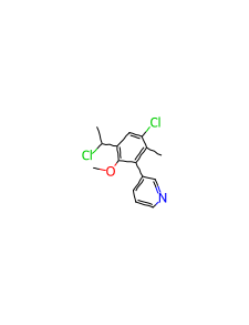 COc1c(C(C)Cl)cc(Cl)c(C)c1-c1cccnc1